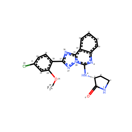 O=C1NCC[C@H]1Nc1nc2ccccc2c2nc(-c3ccc(Cl)cc3OC(F)(F)F)nn12